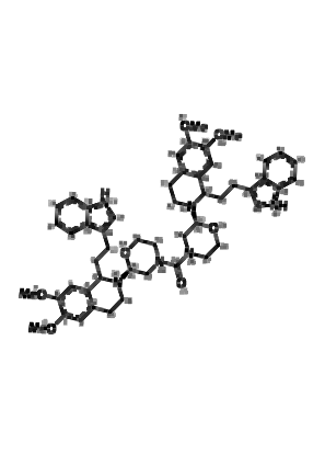 COc1cc2c(cc1OC)C(CCc1c[nH]c3ccccc13)N([C@@H]1CN(C(=O)N3CCO[C@H](N4CCc5cc(OC)c(OC)cc5C4CCc4c[nH]c5ccccc45)C3)CCO1)CC2